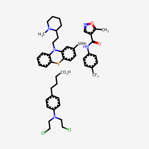 CSc1ccc2c(c1)N(CCC1CCCCN1C)c1ccccc1S2.Cc1oncc1C(=O)Nc1ccc(C(F)(F)F)cc1.O=C(O)CCCc1ccc(N(CCCl)CCCl)cc1